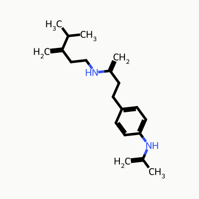 C=C(C)Nc1ccc(CCC(=C)NCCC(=C)C(C)C)cc1